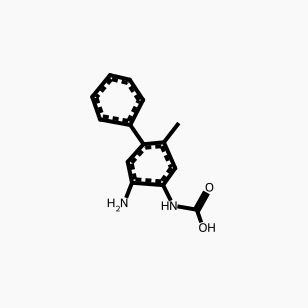 Cc1cc(NC(=O)O)c(N)cc1-c1ccccc1